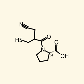 N#CCC(CS)C(=O)N1CCC[C@H]1C(=O)O